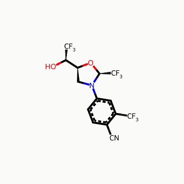 N#Cc1ccc(N2C[C@@H]([C@@H](O)C(F)(F)F)O[C@H]2C(F)(F)F)cc1C(F)(F)F